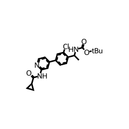 CC(NC(=O)OC(C)(C)C)c1ccc(-c2ccnc(NC(=O)C3CC3)c2)cc1Cl